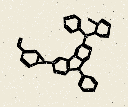 C=CC1=CC2C(C=C1)C2c1ccc2c(c1)c1cc(N(c3ccccc3)C3C=CC=CC3C)ccc1n2-c1ccccc1